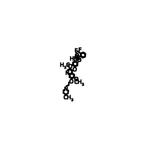 COc1cc2c(Oc3ccc(NS(=O)(=O)c4ccccc4C(F)(F)F)cc3OC)ccnc2cc1OCCCN1CCC(C)CC1